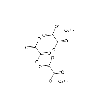 O=C([O-])C(=O)[O-].O=C([O-])C(=O)[O-].O=C([O-])C(=O)[O-].[Os+3].[Os+3]